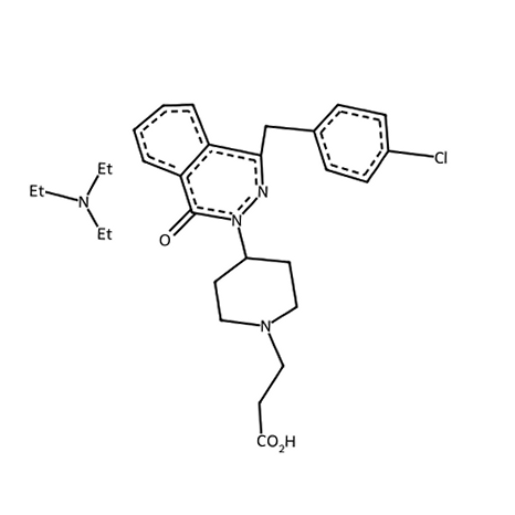 CCN(CC)CC.O=C(O)CCN1CCC(n2nc(Cc3ccc(Cl)cc3)c3ccccc3c2=O)CC1